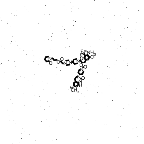 COc1ccc2c(c1)CCN(C1CCN(C(=O)O[C@H](Cc3cc(Cl)c(N)c(C(F)(F)F)c3)C(=O)N3CCC(N4CCN(CC(=O)OCCCN5CCCCC5=O)CC4)CC3)CC1)C(=O)N2